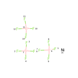 F[B-](F)(F)F.F[B-](F)(F)F.F[B-](F)(F)F.[Ni]